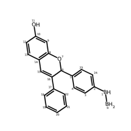 BBc1ccc(C2Oc3cc(O)ccc3C=C2c2ccccc2)cc1